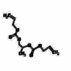 C=CCOC(=O)OCC(C)OC(=O)OCC=C